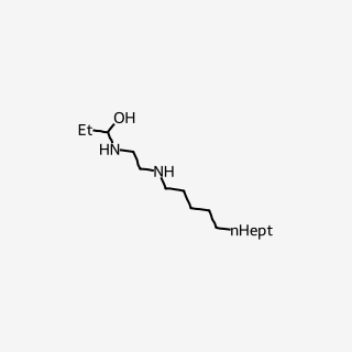 CCCCCCCCCCCCNCCNC(O)CC